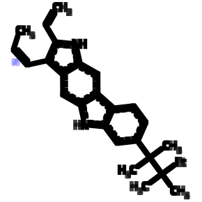 C=Cc1[nH]c2cc3c(cc2c1/C=C\C)[nH]c1cc(C(C)(C)C(C)(C)CC)ccc13